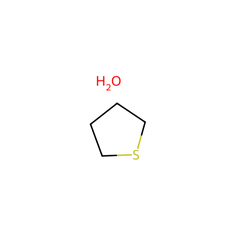 C1CCSC1.O